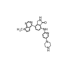 Cn1ccc2c(-c3ccc(Nc4ccc(N5CCNCC5)cn4)c4c3CNC4=O)ncnc21